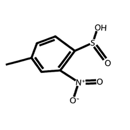 Cc1ccc(S(=O)O)c([N+](=O)[O-])c1